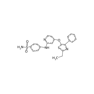 CCc1nc(-c2ccccc2)c(Oc2ccnc(Nc3ccc(S(N)(=O)=O)cc3)c2)s1